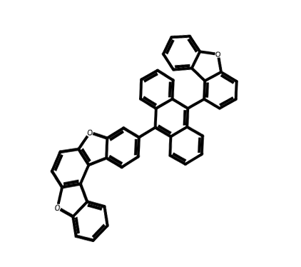 c1ccc2c(c1)oc1cccc(-c3c4ccccc4c(-c4ccc5c(c4)oc4ccc6oc7ccccc7c6c45)c4ccccc34)c12